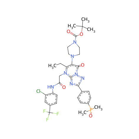 CCc1c(N2CCN(C(=O)OC(C)(C)C)CC2)c(=O)n2nc(-c3ccc(P(C)(C)=O)cc3)nc2n1CC(=O)Nc1ccc(C(F)(F)F)cc1Cl